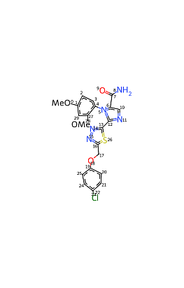 COc1ccc(-n2c(C(N)=O)cnc2-c2nnc(COc3ccc(Cl)cc3)s2)c(OC)c1